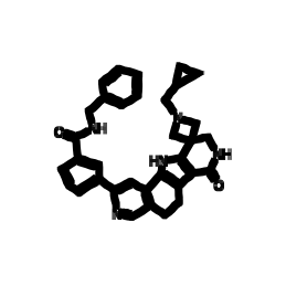 O=C(NCc1ccccc1)c1cccc(-c2cc3c(cn2)CCc2c-3[nH]c3c2C(=O)NCC32CN(CC3CC3)C2)c1